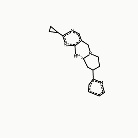 Nc1nc(C2CC2)ncc1CN1CCC(c2ccccn2)CC1